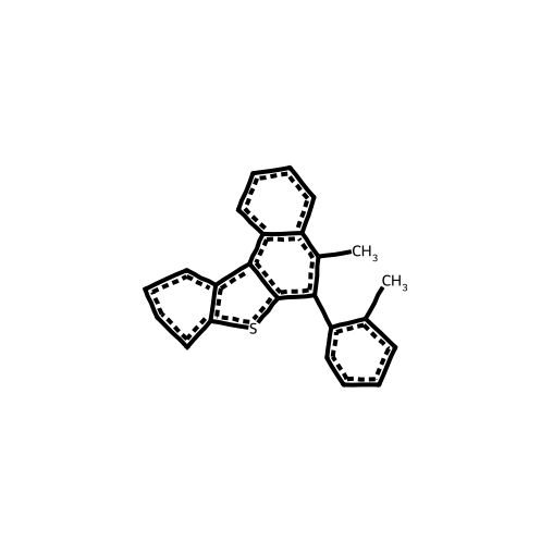 Cc1ccccc1-c1c(C)c2ccccc2c2c1sc1ccccc12